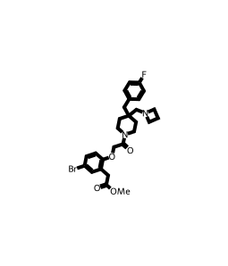 COC(=O)Cc1cc(Br)ccc1OCC(=O)N1CCC(Cc2ccc(F)cc2)(CN2CCC2)CC1